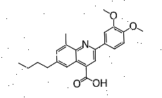 CCCCc1cc(C)c2nc(-c3ccc(OC)c(OC)c3)cc(C(=O)O)c2c1